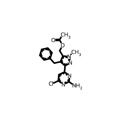 CC(=O)OCc1c(Cc2ccccc2)c(-c2cc(Cl)nc(N)n2)nn1C